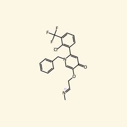 C/N=C/COc1cn(Cc2ccccc2)c(-c2cccc(C(F)(F)F)c2Cl)cc1=O